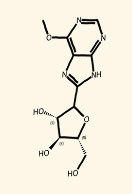 COc1ncnc2[nH]c(C3O[C@H](CO)[C@@H](O)[C@@H]3O)nc12